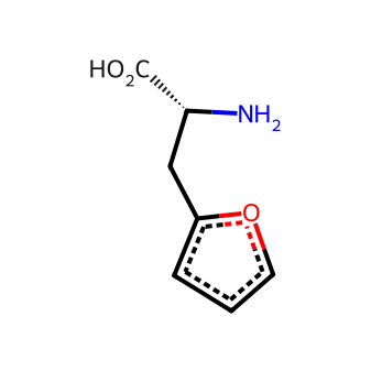 N[C@H](Cc1ccco1)C(=O)O